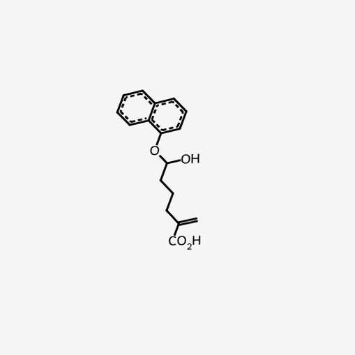 C=C(CCCC(O)Oc1cccc2ccccc12)C(=O)O